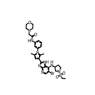 CCS(=O)(=O)N1CCC(Nc2c(Br)cnc3nc(-c4cc(C)n(-c5cccc(NC(=O)CN6CCOCC6)c5)c4C)[nH]c23)C1